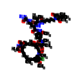 COc1cc(C(=O)N(C)[C@@H](C)C(=O)O[C@H]2CC(=O)N(C)c3cc(cc(OC)c3Cl)C/C(C)=C/C=C/[C@@H](OC)[C@@]3(O)C[C@@H](C[C@@H]4O[C@@]24C)OC(=O)N3)ccc1NC(=O)[C@H](CCCNC(N)=O)NC(=O)[C@@H](NC(=O)CCCCCN1C(=O)CC(C(C)(C)C)C1=O)C(C)C